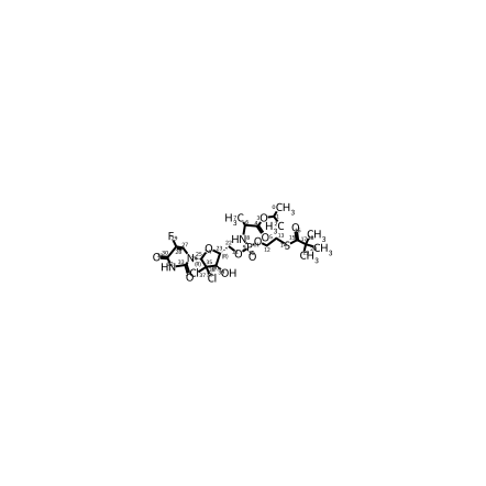 CC(C)OC(=O)C(C)NP(=O)(OCCSC(=O)C(C)(C)C)OC[C@H]1O[C@@H](n2cc(F)c(=O)[nH]c2=O)C(Cl)(Cl)[C@@H]1O